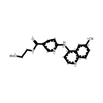 COCCOC(=O)c1ccc(Nc2ccnc3ccc(C#N)cc23)nc1